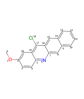 COc1ccc2nc3cc4ccccc4cc3c(Cl)c2c1